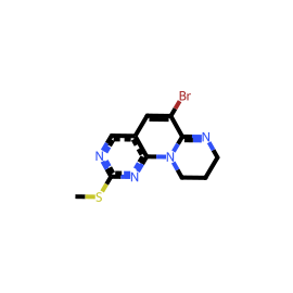 CSc1ncc2c(n1)N1CCCN=C1C(Br)=C2